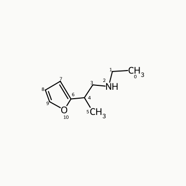 CCNCC(C)c1ccco1